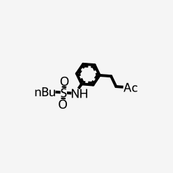 CCCCS(=O)(=O)Nc1cccc(CCC(C)=O)c1